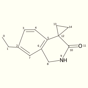 CCc1ccc2c(c1)CNC(=O)C21CC1